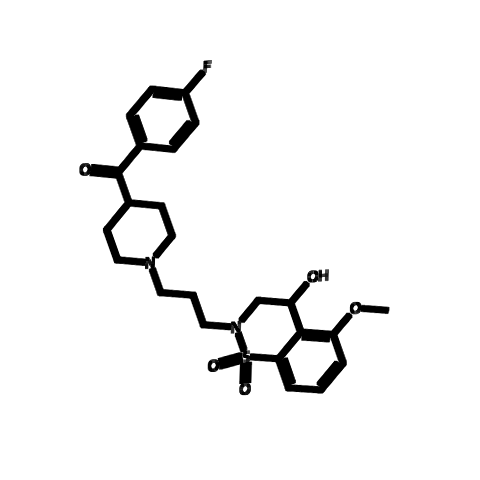 COc1cccc2c1C(O)CN(CCCN1CCC(C(=O)c3ccc(F)cc3)CC1)S2(=O)=O